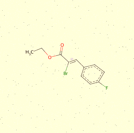 CCOC(=O)/C(Br)=C/c1ccc(F)cc1